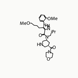 COCCCCc1c(C(=O)N(CC(C)C)[C@@H]2CNC[C@H](C(=O)N3CCOCC3)C2)nnn1-c1ccccc1OC